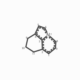 c1cc2c3c(ccn3c1)CCC2